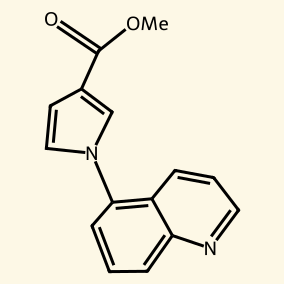 COC(=O)c1ccn(-c2cccc3ncccc23)c1